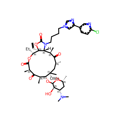 C=C[C@]12OC(=O)N(CCCCn3cnc(-c4ccc(Cl)nc4)c3)[C@@H]1[C@@H](C)C(=O)[C@H](C)C[C@](C)(OC)[C@H](OC1O[C@H](C)C[C@H](N(C)C)[C@H]1O)[C@@H](C)C(=O)[C@@H](C)C(=O)O[C@@H]2CC